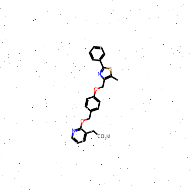 Cc1sc(-c2ccccc2)nc1COc1ccc(COc2ncccc2CC(=O)O)cc1